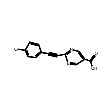 O=C(O)c1cnc(C#Cc2ccc(Cl)cc2)nc1